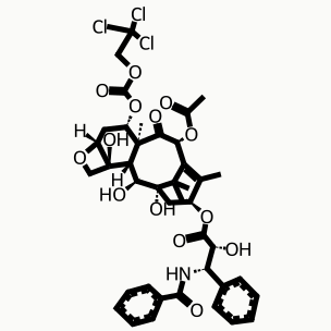 CC(=O)O[C@H]1C(=O)[C@]2(C)[C@@H](OC(=O)OCC(Cl)(Cl)Cl)C[C@H]3OC[C@@]3(O)[C@H]2[C@H](O)[C@]2(O)C[C@H](OC(=O)[C@H](O)[C@@H](NC(=O)c3ccccc3)c3ccccc3)C(C)=C1C2(C)C